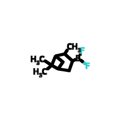 CC1C(B(F)F)CC2CC1C2(C)C